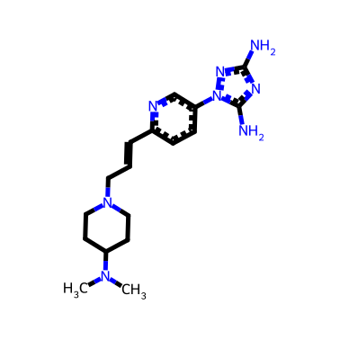 CN(C)C1CCN(CC=Cc2ccc(-n3nc(N)nc3N)cn2)CC1